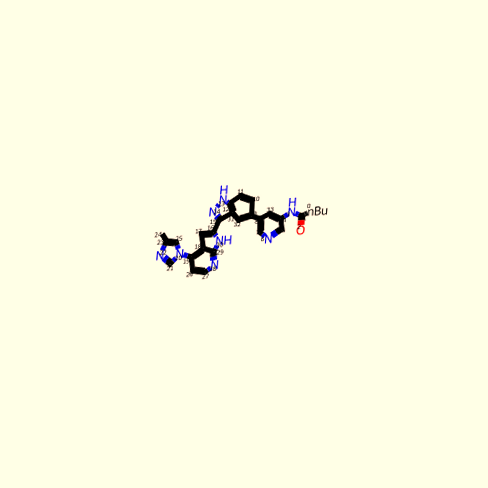 CCCCC(=O)Nc1cncc(-c2ccc3[nH]nc(-c4cc5c(-n6cnc(C)c6)ccnc5[nH]4)c3c2)c1